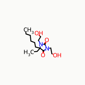 CCCCCCC1(CC)C(=O)N(CCO)C(=O)N1CCO